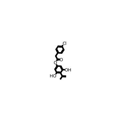 C=C(C)c1c(O)cc(OC(=O)Cc2ccc(Cl)cc2)cc1O